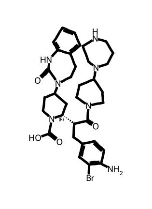 Nc1ccc(CC(C(=O)N2CCC(N3CCCNCC3)CC2)[C@H]2CC(N3CCc4ccccc4NC3=O)CCN2C(=O)O)cc1Br